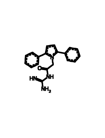 N=C(N)NC(=O)Cn1c(-c2ccccc2)ccc1-c1ccccc1